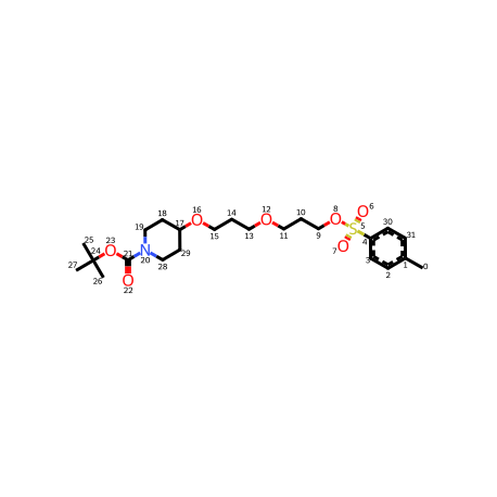 Cc1ccc(S(=O)(=O)OCCCOCCCOC2CCN(C(=O)OC(C)(C)C)CC2)cc1